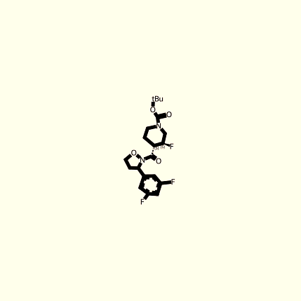 CC(C)(C)OC(=O)N1CC[C@@H](C(=O)N2OCCC2c2cc(F)cc(F)c2)[C@H](F)C1